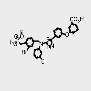 O=C(O)c1cccc(Oc2cccc(-c3nnc(N(Cc4ccc(CP(=O)(OF)OF)c(Br)c4)c4cccc(Cl)c4)s3)c2)c1